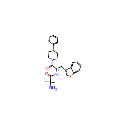 CC(C)(N)C(=O)N[C@H](Cc1csc2ccccc12)C(=O)N1CCC(c2ccccc2)CC1